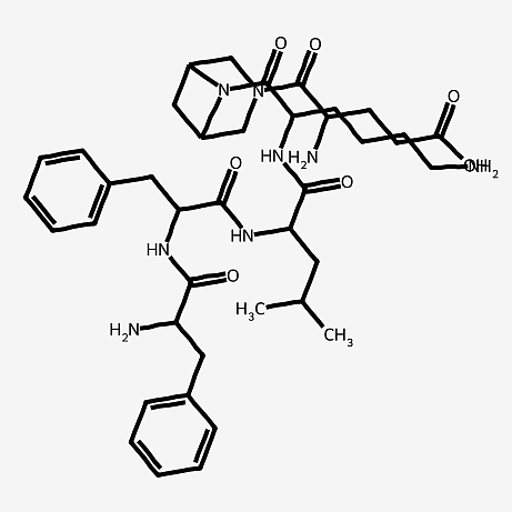 CC(C)CC(NC(=O)C(Cc1ccccc1)NC(=O)C(N)Cc1ccccc1)C(=O)NC(CCCCN)C(=O)N1C2CC1CN(C(=O)C(N)CCC(=O)O)C2